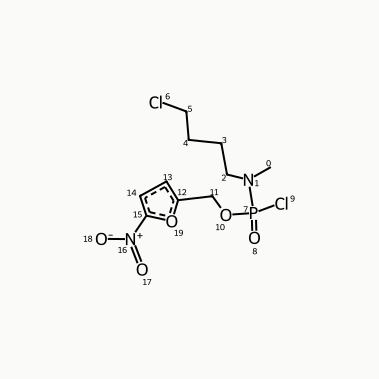 CN(CCCCCl)P(=O)(Cl)OCc1ccc([N+](=O)[O-])o1